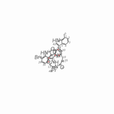 Cc1cccc2c(-c3cnc(-c4nc5oc4[C@]46c7cc(ccc7OC4Nc4c(Br)cccc46)C[C@H](C)C(=O)N[C@H]5C(C)C)o3)c[nH]c12